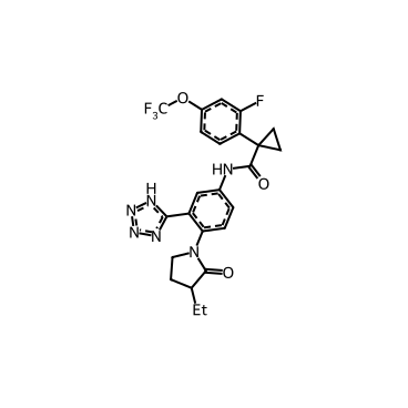 CCC1CCN(c2ccc(NC(=O)C3(c4ccc(OC(F)(F)F)cc4F)CC3)cc2-c2nnn[nH]2)C1=O